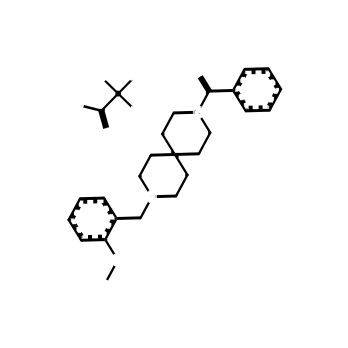 COc1ccccc1CN1CCC2(CC1)CCN(C(=O)c1ccccc1)CC2.O=C(O)C(F)(F)F